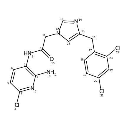 Nc1nc(Cl)ccc1NC(=O)Cn1cnc(Cc2ccc(Cl)cc2Cl)c1